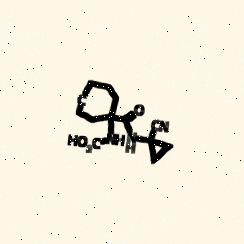 N#CC1(NC(=O)C2(NC(=O)O)CCCCCC2)CC1